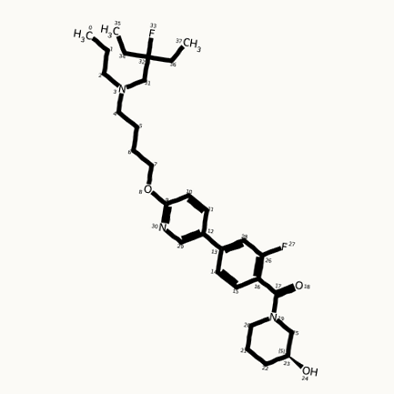 CCCN(CCCCOc1ccc(-c2ccc(C(=O)N3CCC[C@H](O)C3)c(F)c2)cn1)CC(F)(CC)CC